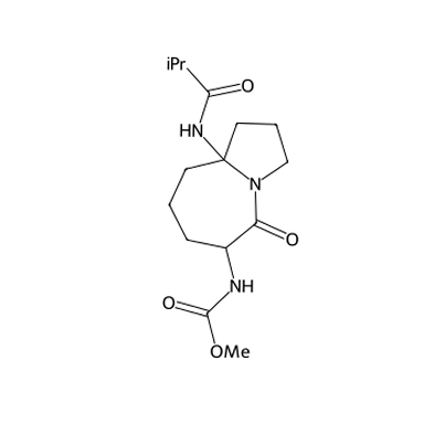 COC(=O)NC1CCCC2(NC(=O)C(C)C)CCCN2C1=O